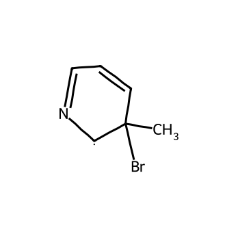 CC1(Br)[CH]N=CC=C1